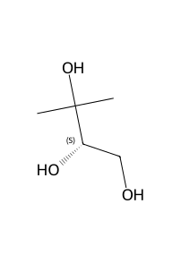 CC(C)(O)[C@@H](O)CO